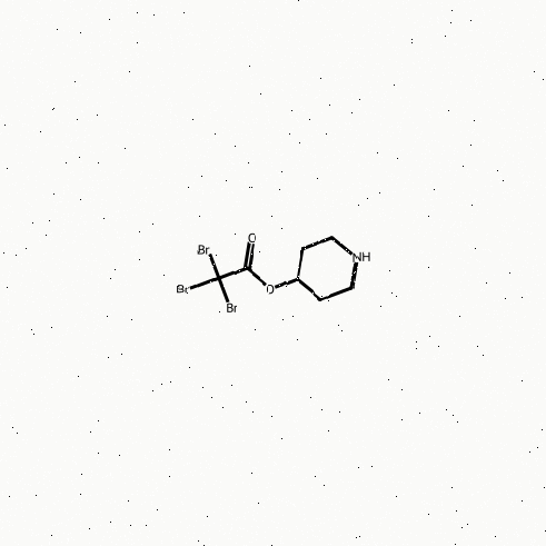 O=C(OC1CCNCC1)C(Br)(Br)Br